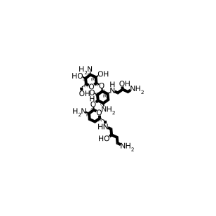 NCCC(O)CNC[C@@H]1CC[C@@H](N)[C@@H](OC2[C@@H](N)C[C@@H](NCC(O)CN)[C@H](O[C@H]3O[C@H](CO)[C@@H](O)[C@H](N)[C@H]3O)[C@H]2O)O1